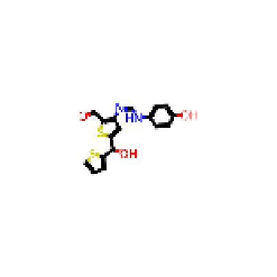 O=Cc1sc(C(O)c2cccs2)cc1/N=C\Nc1ccc(O)cc1